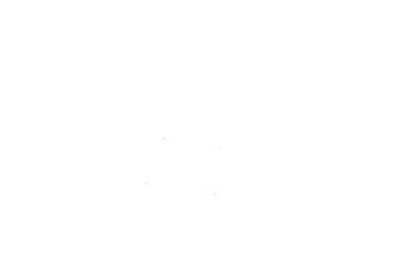 N#Cc1nc(C2CC2)c(-c2ccccc2)nc1N